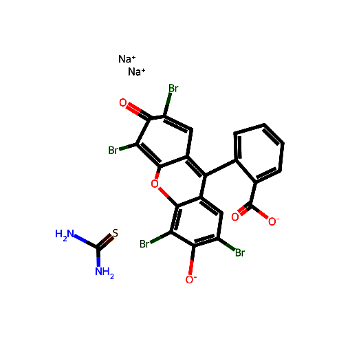 NC(N)=S.O=C([O-])c1ccccc1-c1c2cc(Br)c(=O)c(Br)c-2oc2c(Br)c([O-])c(Br)cc12.[Na+].[Na+]